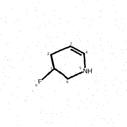 FC1CC=CNC1